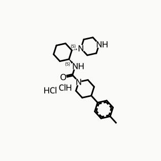 Cc1ccc(C2CCN(C(=O)N[C@H]3CCCC[C@@H]3N3CCNCC3)CC2)cc1.Cl.Cl